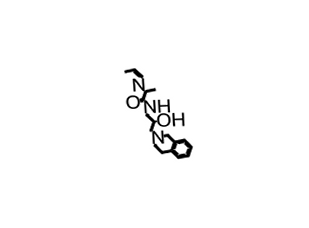 C/C=C\N=C(/C)C(=O)NC[C@@H](O)CN1CCc2ccccc2C1